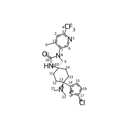 Cc1cc(C(F)(F)F)ncc1N1C[C@]2(CC[C@](c3ccc(Cl)s3)(N(C)C)CC2)NC1=O